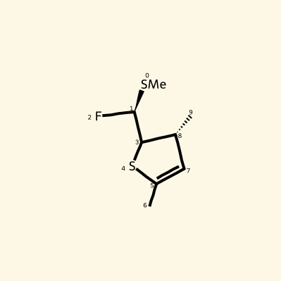 CS[C@H](F)C1SC(C)=C[C@H]1C